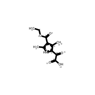 CCOC(=O)c1c(C)[nH]c(C(=O)C(=O)O)c1C